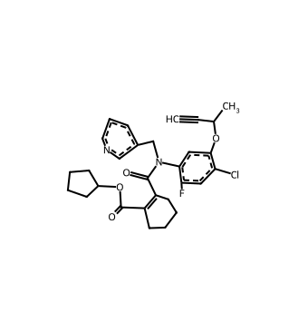 C#CC(C)Oc1cc(N(Cc2cccnc2)C(=O)C2=C(C(=O)OC3CCCC3)CCCC2)c(F)cc1Cl